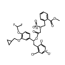 COC(=O)c1ccccc1CN(CC(=O)O[C@@H](Cc1c(Cl)c[n+]([O-])cc1Cl)c1ccc(OC(F)F)c(OCC2CC2)c1)[SH](=O)=O